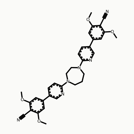 COc1cc(-c2ccc(N3CCCN(c4ccc(-c5cc(OC)c(C#N)c(OC)c5)cn4)CC3)nc2)cc(OC)c1C#N